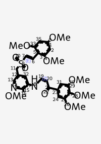 COc1cc(OC)c(/C=C/S(=O)(=O)Cc2cnc(OC)c(N/C=C\C(=O)c3cc(OC)c(OC)c(OC)c3)c2)c(OC)c1